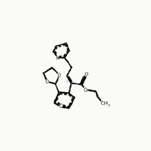 CCOC(=O)/C(=C\Cc1ccccn1)c1ccccc1C1OCCO1